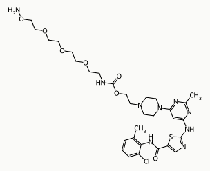 Cc1nc(Nc2ncc(C(=O)Nc3c(C)cccc3Cl)s2)cc(N2CCN(CCOC(=O)NCCOCCOCCOCCON)CC2)n1